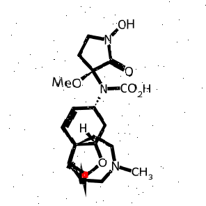 CO[C@@]1(N(C(=O)O)[C@H]2C=C[C@@]34CCN(C)Cc5cccc(c53)O[C@H]4C2)CCN(O)C1=O